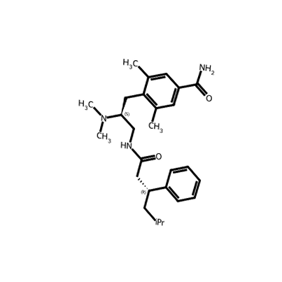 Cc1cc(C(N)=O)cc(C)c1C[C@@H](CNC(=O)C[C@@H](CC(C)C)c1ccccc1)N(C)C